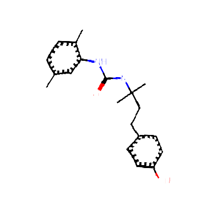 Cc1ccc(C)c(NC(=O)NC(C)(C)CCc2ccc(O)cc2)c1